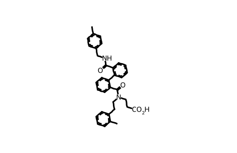 Cc1ccc(CNC(=O)c2ccccc2-c2ccccc2C(=O)N(CCC(=O)O)CCc2ccccc2C)cc1